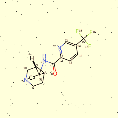 O=C(N[C@H]1CN2CCC1CC2)c1ccc(C(F)(F)F)cn1